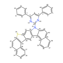 c1ccc(-c2cc(-c3ccccc3)nc(-n3c4cc5sc6ccc7ccccc7c6c5cc4c4c5ccccc5ccc43)n2)cc1